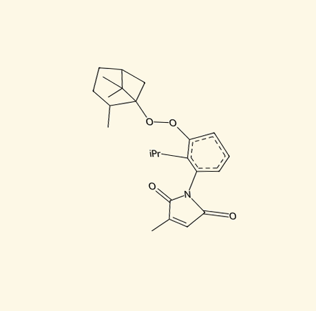 CC1=CC(=O)N(c2cccc(OOC34CC(CCC3C)C4(C)C)c2C(C)C)C1=O